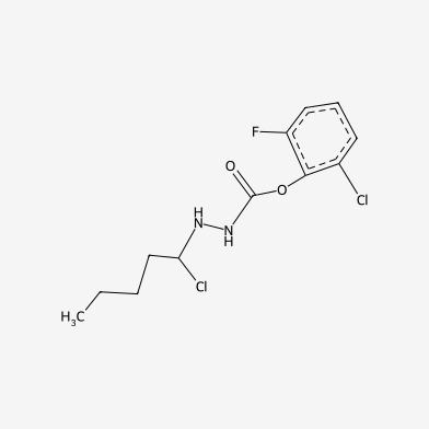 CCCCC(Cl)NNC(=O)Oc1c(F)cccc1Cl